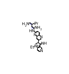 CCNCC(C(=N)c1cccnc1)c1cnc2ccc(N/C(N)=C/C(=C\N)C(C)C)nc2c1